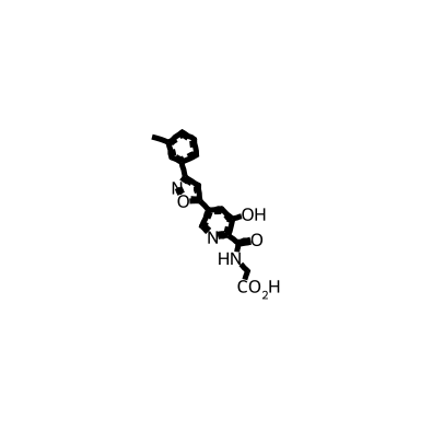 Cc1cccc(-c2cc(-c3cnc(C(=O)NCC(=O)O)c(O)c3)on2)c1